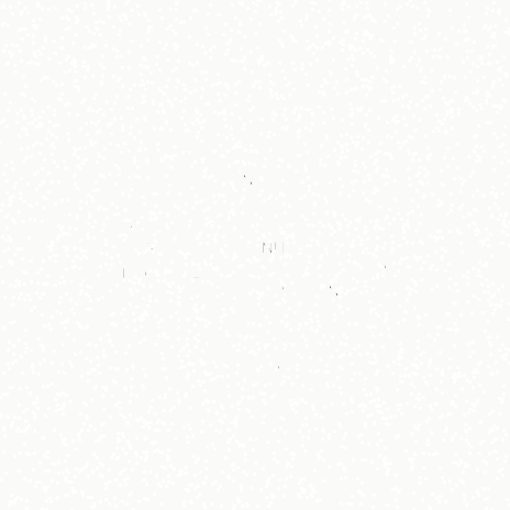 Cc1cc(C(C)Nc2ccc(Cl)nc2-c2cc(F)c3c(c2)COB3O)c2oc(N3CCOCC3)c(C)c(=O)c2c1